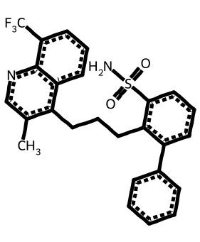 Cc1cnc2c(C(F)(F)F)cccc2c1CCCc1c(-c2ccccc2)cccc1S(N)(=O)=O